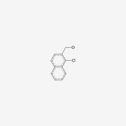 [O]Cc1ccc2ccccc2c1Cl